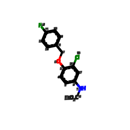 CCOC(=O)Nc1ccc(OCc2ccc(F)cc2)c(Cl)c1